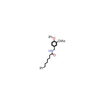 COc1cc(CNC(=O)CCCCCCC(C)C)ccc1OC(C)C